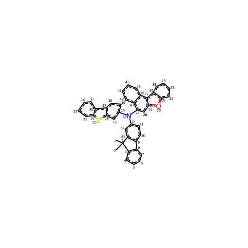 CC1(C)c2ccccc2-c2ccc(N(c3ccc4c(c3)sc3ccccc34)c3cc4oc5ccccc5c4c4ccccc34)cc21